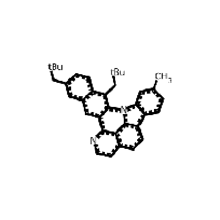 Cc1ccc2c3ccc4ccnc5c6cc7cc(CC(C)(C)C)ccc7c(CC(C)(C)C)c6n(c2c1)c3c45